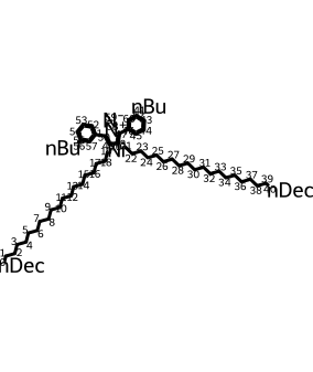 CCCCCCCCCCCCCCCCCCCCCCCCCCCC[CH2][Ni][CH2]CCCCCCCCCCCCCCCCCCCCCCCCCCCC.CCCCc1cccc(C2=CC=C(c3cccc(CCCC)c3)[N+]2=[N-])c1